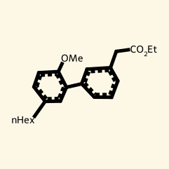 CCCCCCc1ccc(OC)c(-c2cccc(CC(=O)OCC)c2)c1